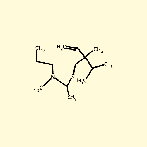 C=CC(C)(CCC(C)N(C)CCC)C(C)C